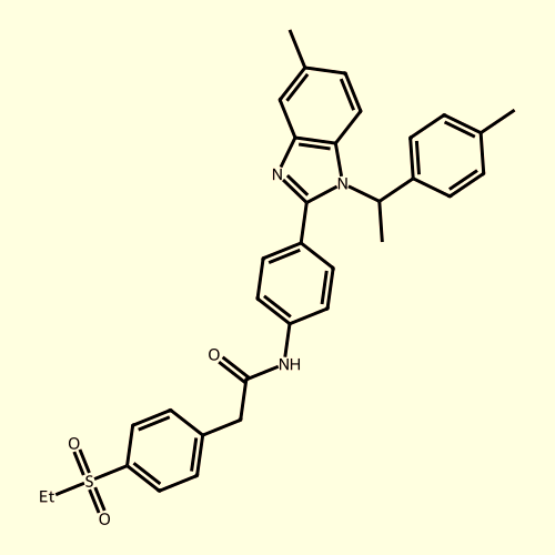 CCS(=O)(=O)c1ccc(CC(=O)Nc2ccc(-c3nc4cc(C)ccc4n3C(C)c3ccc(C)cc3)cc2)cc1